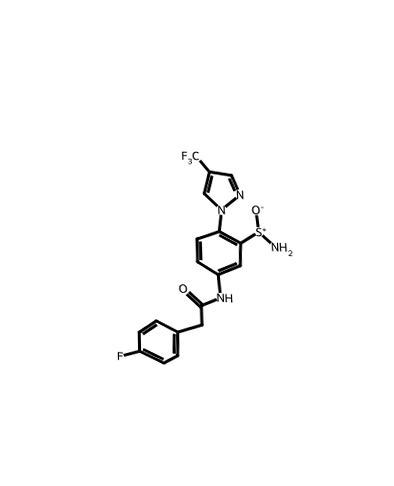 N[S+]([O-])c1cc(NC(=O)Cc2ccc(F)cc2)ccc1-n1cc(C(F)(F)F)cn1